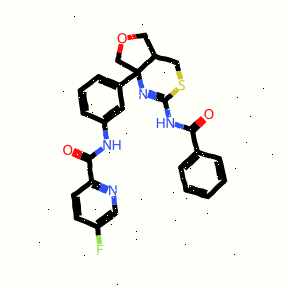 O=C(NC1=NC2(c3cccc(NC(=O)c4ccc(F)cn4)c3)COCC2CS1)c1ccccc1